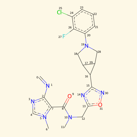 C=Nc1ncn(C)c1C(=O)N(C)Cc1nc(C2C3CN(c4cccc(Cl)c4F)CC32)no1